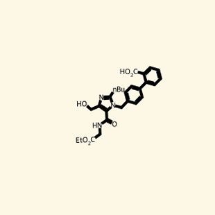 CCCCc1nc(CO)c(C(=O)NCC(=O)OCC)n1Cc1ccc(-c2ccccc2C(=O)O)cc1